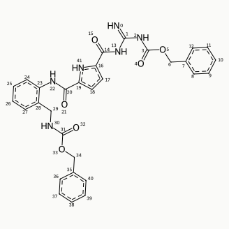 N=C(NC(=O)OCc1ccccc1)NC(=O)c1ccc(C(=O)Nc2ccccc2CNC(=O)OCc2ccccc2)[nH]1